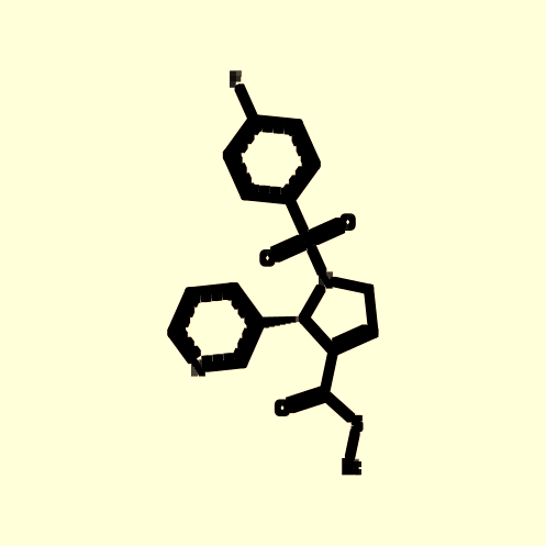 CCSC(=O)C1=CCN(S(=O)(=O)c2ccc(F)cc2)[C@H]1c1cccnc1